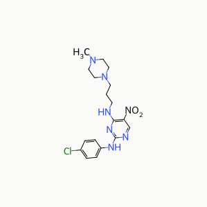 CN1CCN(CCCNc2nc(Nc3ccc(Cl)cc3)ncc2[N+](=O)[O-])CC1